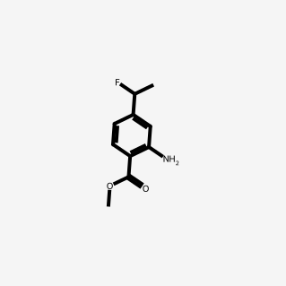 COC(=O)c1ccc(C(C)F)cc1N